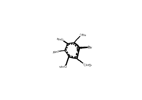 COc1c(Br)c(C=O)c(OC)c(OC)c1OC